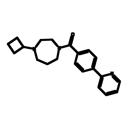 O=C(c1ccc(-c2ccccn2)cc1)N1CCCN(C2CCC2)CC1